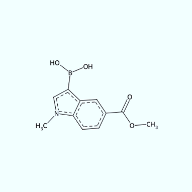 COC(=O)c1ccc2c(c1)c(B(O)O)cn2C